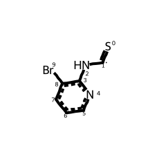 S=[C]Nc1ncccc1Br